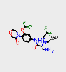 CC(C)(C)CN(CC(F)F)[C@H](CN)C(=O)Nc1ccc(N2CCOCC2=O)c(OC(F)F)c1